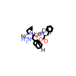 CN(C)[C@@H](Cc1ccccc1)C(=O)OC12CC3C[C@H](C1)CC([C@H](N)C(=O)N1C4CC4C[C@H]1C#N)(C3)C2